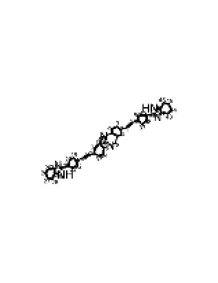 C(#Cc1ccc2c(c1)CN1CN2Cc2cc(C#Cc3ccc(-c4nc5ccccc5[nH]4)cc3)ccc21)c1ccc(-c2nc3ccccc3[nH]2)cc1